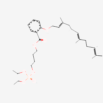 CCOP(=O)(OCC)OCCCCOC(=O)c1ccccc1OC/C=C(\C)CC/C=C(\C)CCC=C(C)C